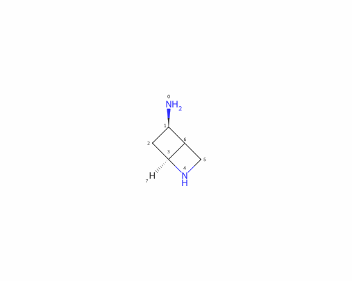 N[C@@H]1C[C@@H]2NCC12